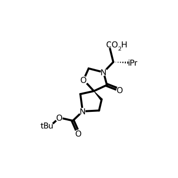 CC(C)[C@@H](C(=O)O)N1CO[C@]2(CCN(C(=O)OC(C)(C)C)C2)C1=O